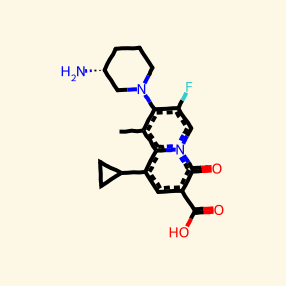 Cc1c(N2CCC[C@@H](N)C2)c(F)cn2c(=O)c(C(=O)O)cc(C3CC3)c12